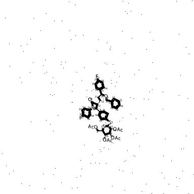 CC(=O)OC[C@H]1S[C@@H](Sc2ccc([C@@H]3[C@@H](CC[C@H](OCc4ccccc4)c4ccc(F)cc4)C(=O)N3c3ccc(F)cc3)cc2)[C@H](OC(C)=O)[C@@H](OC(C)=O)[C@@H]1OC(C)=O